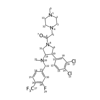 CN1CCN(CC(=O)N2CC(c3ccc(Cl)c(Cl)c3)C(N(C)Cc3ccc(C(F)(F)F)c(F)c3)C2)CC1